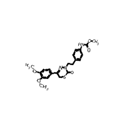 COC(=O)Nc1ccc(CCN2N=C(c3ccc(OC)c(OC)c3)CSC2=O)cc1